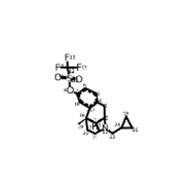 C[C@H]1C2Cc3ccc(OS(=O)(=O)C(F)(F)F)cc3[C@@]1(C)CCN2CC1CC1